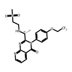 C[C@@H](NCCS(C)(=O)=O)c1nc2ncccc2c(=O)n1-c1ccc(OCC(F)(F)F)cc1